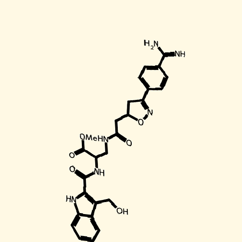 COC(=O)C(CNC(=O)CC1CC(c2ccc(C(=N)N)cc2)=NO1)NC(=O)c1[nH]c2ccccc2c1CO